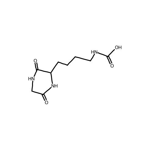 O=C(O)NCCCCC1NC(=O)CNC1=O